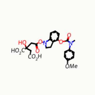 COc1ccc(N(C)C(=O)Oc2cccc3c2CCN3OC(=O)CC(O)(CC(=O)O)C(=O)O)cc1